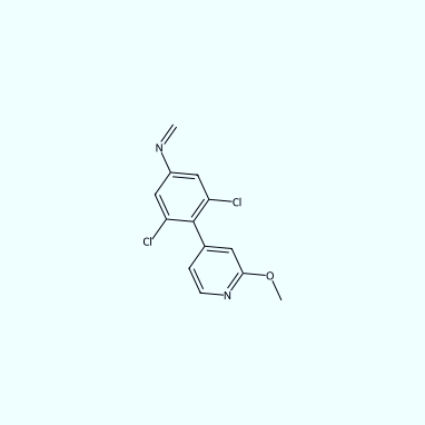 C=Nc1cc(Cl)c(-c2ccnc(OC)c2)c(Cl)c1